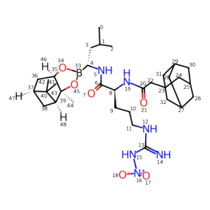 CC(C)C[C@H](NC(=O)[C@H](CCCNC(=N)N[N+](=O)[O-])NC(=O)CC12CC3CC(CC(C3)C1)C2)B1O[C@@H]2C[C@@H]3C[C@@H](C3(C)C)[C@]2(C)O1